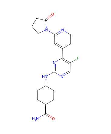 NC(=O)[C@H]1CC[C@H](Nc2ncc(F)c(-c3ccnc(N4CCCC4=O)c3)n2)CC1